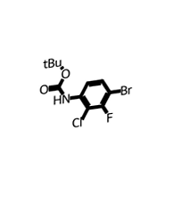 CC(C)(C)OC(=O)Nc1ccc(Br)c(F)c1Cl